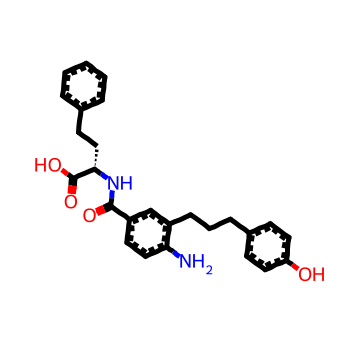 Nc1ccc(C(=O)N[C@@H](CCc2ccccc2)C(=O)O)cc1CCCc1ccc(O)cc1